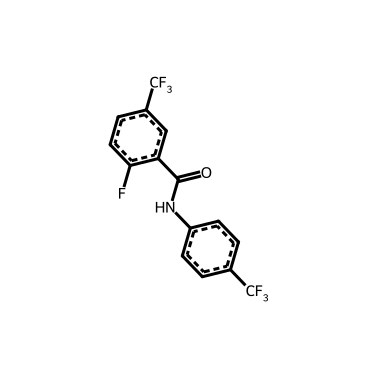 O=C(Nc1ccc(C(F)(F)F)cc1)c1cc(C(F)(F)F)ccc1F